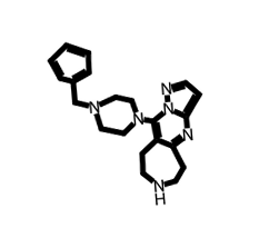 c1ccc(CN2CCN(c3c4c(nc5ccnn35)CCNCC4)CC2)cc1